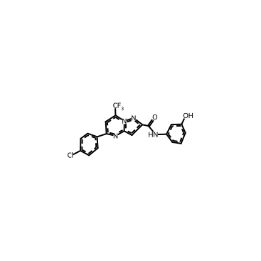 O=C(Nc1cccc(O)c1)c1cc2nc(-c3ccc(Cl)cc3)cc(C(F)(F)F)n2n1